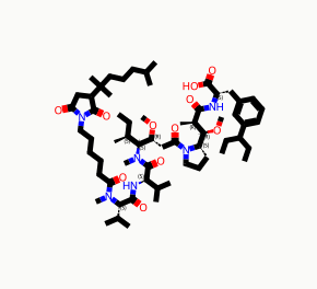 CCC(CC)c1cccc(C[C@H](NC(=O)[C@H](C)[C@@H](OC)[C@@H]2CCCN2C(=O)C[C@@H](OC)[C@H]([C@@H](C)CC)N(C)C(=O)[C@@H](NC(=O)[C@H](C(C)C)N(C)C(=O)CCCCCN2C(=O)CC(C(C)(C)CCCC(C)C)C2=O)C(C)C)C(=O)O)c1